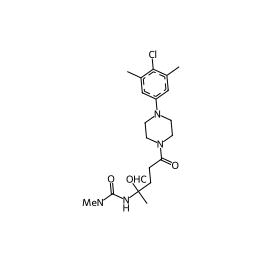 CNC(=O)NC(C)(C=O)CCC(=O)N1CCN(c2cc(C)c(Cl)c(C)c2)CC1